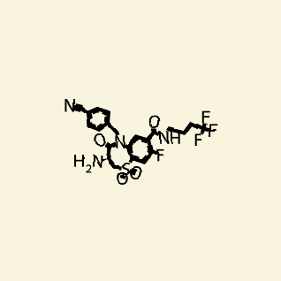 N#Cc1ccc(CN2C(=O)[C@@H](N)CS(=O)(=O)c3cc(F)c(C(=O)NCCCC(F)(F)F)cc32)cc1